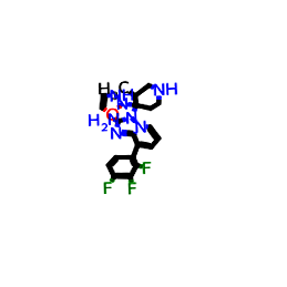 CC1CNCCC1(N1NC=CO1)N1C(N)N=C2C(c3ccc(F)c(F)c3F)=CC=CN21